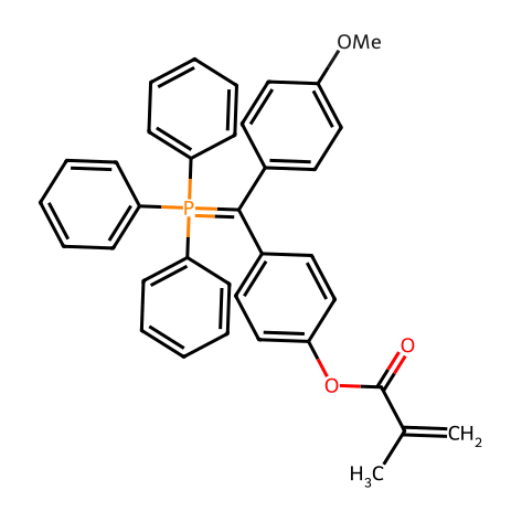 C=C(C)C(=O)Oc1ccc(C(c2ccc(OC)cc2)=P(c2ccccc2)(c2ccccc2)c2ccccc2)cc1